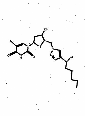 CCCCC[C@H](O)c1cn(C[C@H]2O[C@@H](n3cc(C)c(=O)[nH]c3=O)CC2O)nn1